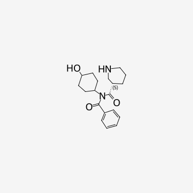 O=C(c1ccccc1)N(C(=O)[C@H]1CCCNC1)C1CCC(O)CC1